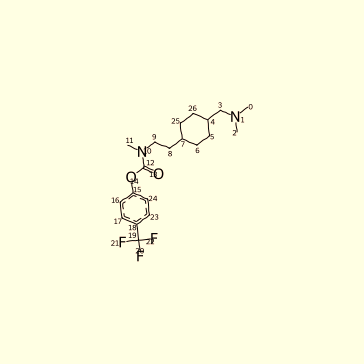 CN(C)CC1CCC(CCN(C)C(=O)Oc2ccc(C(F)(F)F)cc2)CC1